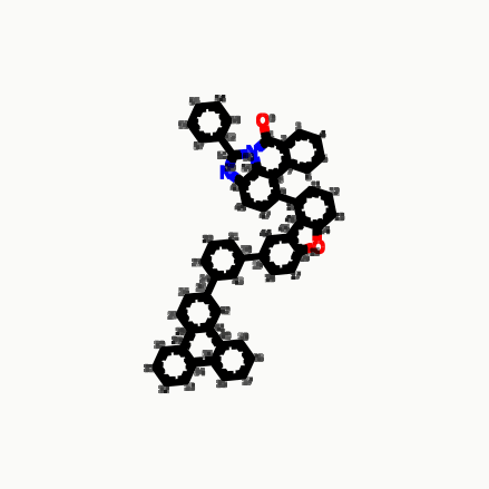 O=c1c2ccccc2c2c(-c3cccc4oc5ccc(-c6cccc(-c7ccc8c9ccccc9c9ccccc9c8c7)c6)cc5c34)ccc3nc(-c4ccccc4)n1c32